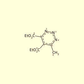 CCOC(=O)c1nnnc(C)c1C(=O)OCC